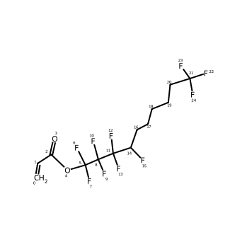 C=CC(=O)OC(F)(F)C(F)(F)C(F)(F)C(F)CCCCCC(F)(F)F